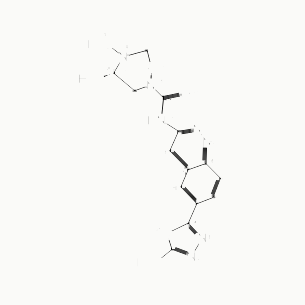 Cc1nnc(-c2ccc3nnc(NC(=O)N4CCN(C)[C@H](C)C4)cc3c2)s1